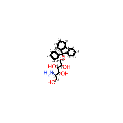 N[C@H](CO)[C@H](O)[C@H](O)[C@@H](O)COC(c1ccccc1)(c1ccccc1)c1ccccc1